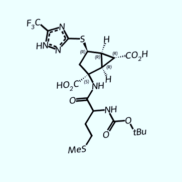 CSCCC(NC(=O)OC(C)(C)C)C(=O)N[C@@]1(C(=O)O)C[C@@H](Sc2n[nH]c(C(F)(F)F)n2)[C@H]2[C@H](C(=O)O)[C@H]21